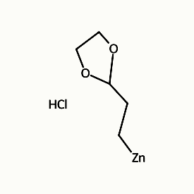 Cl.[Zn][CH2]CC1OCCO1